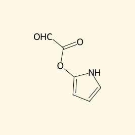 O=CC(=O)Oc1ccc[nH]1